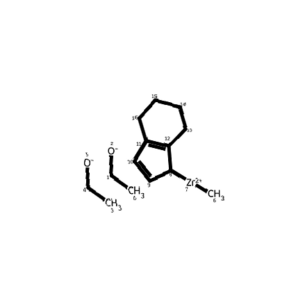 CC[O-].CC[O-].[CH3][Zr+2][CH]1C=CC2=C1CCCC2